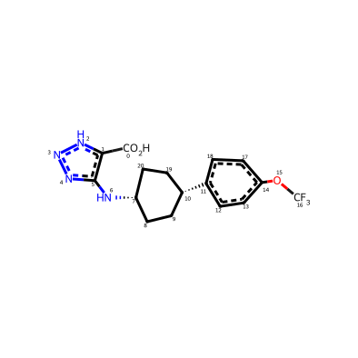 O=C(O)c1[nH]nnc1N[C@H]1CC[C@@H](c2ccc(OC(F)(F)F)cc2)CC1